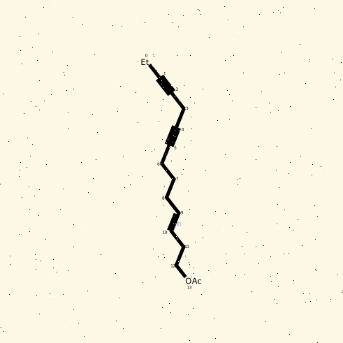 CCC#CCC#CCCC/C=C/CCOC(C)=O